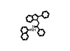 C1=C(c2ccccc2)C(CC(=NNc2cccc3ccccc23)c2ccccc2)c2ccccc21